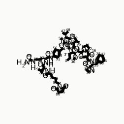 CC[C@H](C)[C@@H]([C@@H](CC(=O)N1CCC[C@H]1[C@H](OC)C(C)C(=O)N[C@@H](Cc1ccccc1)c1nccs1)OC)N(C)C(=O)[C@@H](NC(=O)[C@H](C(C)C)N(C)C(=O)OCc1ccc(NC(=O)[C@H](CCCNC(N)=O)NC(=O)[C@@H](NC(=O)CCCCCN2C(=O)C=CC2=O)C(C)C)cc1)C(C)C